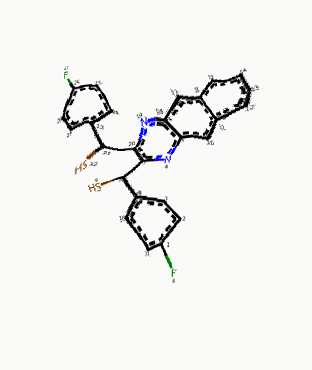 Fc1ccc(C(S)c2nc3cc4ccccc4cc3nc2C(S)c2ccc(F)cc2)cc1